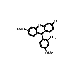 COc1ccc(-c2c3ccc(=O)cc-3oc3cc(OC)ccc23)c(C)c1